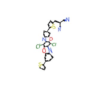 N#CC(C#N)=Cc1ccc(-c2ccc3c(c2)Oc2c(Cl)c4c(c(Cl)c2=N3)Oc2cc(-c3cccs3)ccc2N=4)s1